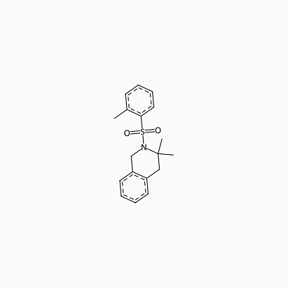 Cc1ccccc1S(=O)(=O)N1Cc2ccccc2CC1(C)C